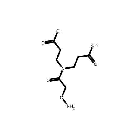 NOCC(=O)N(CCC(=O)O)CCC(=O)O